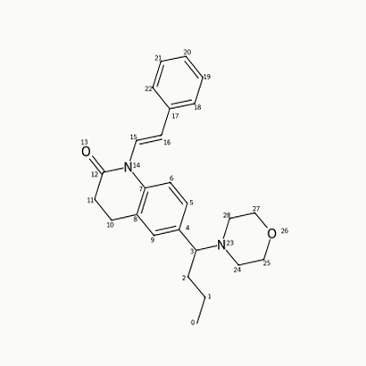 CCCC(c1ccc2c(c1)CCC(=O)N2C=Cc1ccccc1)N1CCOCC1